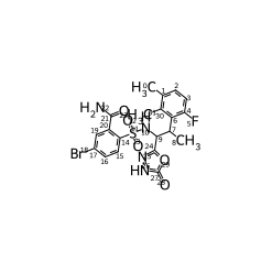 Cc1ccc(F)c(C(C)C(NS(=O)(=O)c2ccc(Br)cc2C(N)=O)c2n[nH]c(=O)o2)c1C